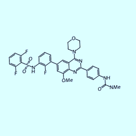 CNC(=O)Nc1ccc(-c2nc(N3CCOCC3)c3cc(-c4cccc(NS(=O)(=O)c5c(F)cccc5F)c4F)cc(OC)c3n2)cc1